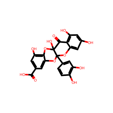 O=C(O)c1cc(O)c2c(c1)OC1(c3ccc(O)c(O)c3)Oc3cc(O)cc(O)c3C(=O)C1(O)O2